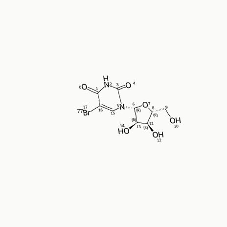 O=c1[nH]c(=O)n([C@@H]2O[C@H](CO)[C@@H](O)[C@H]2O)cc1[77Br]